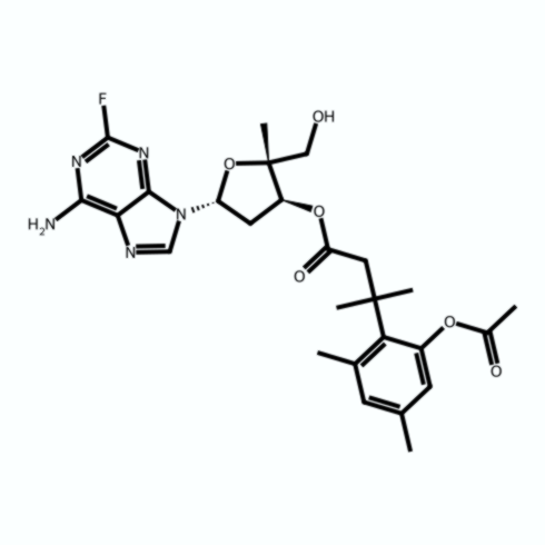 CC(=O)Oc1cc(C)cc(C)c1C(C)(C)CC(=O)O[C@H]1C[C@H](n2cnc3c(N)nc(F)nc32)O[C@]1(C)CO